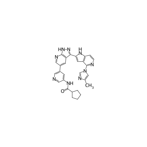 Cc1cn(-c2nccc3[nH]c(-c4n[nH]c5ncc(-c6cncc(NC(=O)C7CCCC7)c6)cc45)cc23)cn1